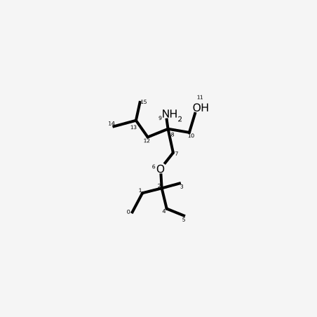 CCC(C)(CC)OCC(N)(CO)CC(C)C